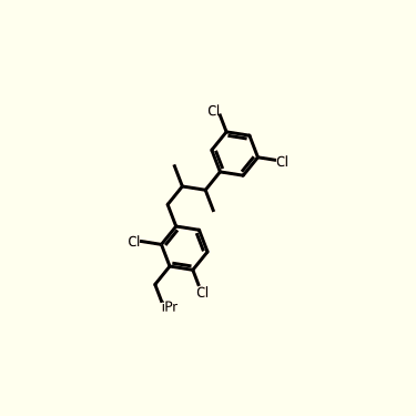 CC(C)Cc1c(Cl)ccc(CC(C)C(C)c2cc(Cl)cc(Cl)c2)c1Cl